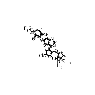 Cc1cc(Cl)cc(-c2ncnc3cc(Cn4c(=O)ccn(CC(F)(F)F)c4=O)sc23)c1O[C@H]1CC[C@](C)(N)C1